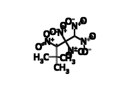 CC(C)(C)[C]([N+](=O)[O-])C(C([N+](=O)[O-])[N+](=O)[O-])([N+](=O)[O-])[N+](=O)[O-]